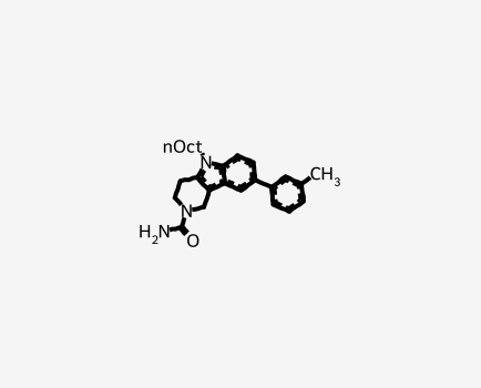 CCCCCCCCn1c2c(c3cc(-c4cccc(C)c4)ccc31)CN(C(N)=O)CC2